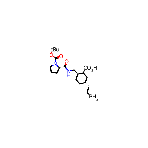 BCC[C@@H]1CC[C@@H](CNC(=O)[C@@H]2CCCN2C(=O)OC(C)(C)C)[C@@H](C(=O)O)C1